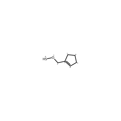 SOCC1=CCCC1